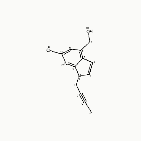 CC#CCn1ccc2c(CO)cc(Cl)nc21